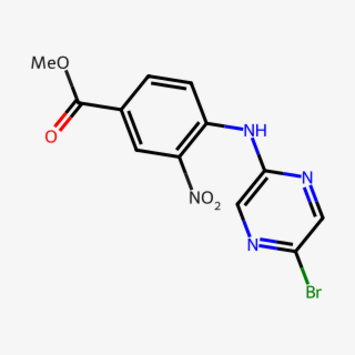 COC(=O)c1ccc(Nc2cnc(Br)cn2)c([N+](=O)[O-])c1